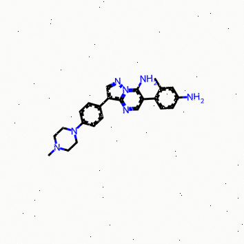 Cc1cc(N)ccc1-c1cnc2c(-c3ccc(N4CCN(C)CC4)cc3)cnn2c1N